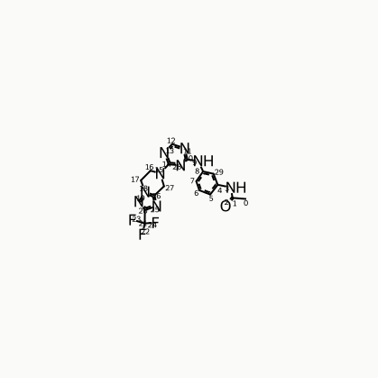 CC(=O)Nc1cccc(Nc2ncnc(N3CCn4nc(C(F)(F)F)nc4C3)n2)c1